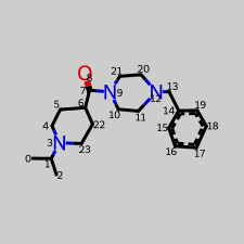 CC(C)N1CCC(C(=O)N2CCN(Cc3ccccc3)CC2)CC1